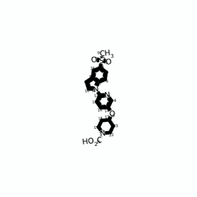 CS(=O)(=O)c1ccc2c(ccn2-c2ccc(OC3CCN(C(=O)O)CC3)cn2)c1